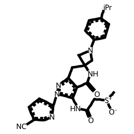 CC(C)c1ccc(N2CC3(Cc4nn(-c5ccc(C#N)cn5)c(NC(=O)C[S+](C)[O-])c4C(=O)N3)C2)cc1